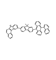 CC1(C)c2cc(-c3ccc4sc5ccc6ccccc6c5c4c3)ccc2-c2ccc(-c3c4ccccc4c(-c4cccc5ccccc45)c4ccccc34)cc21